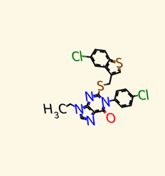 CCn1cnc2c(=O)n(-c3ccc(Cl)cc3)c(SCc3csc4ccc(Cl)cc34)nc21